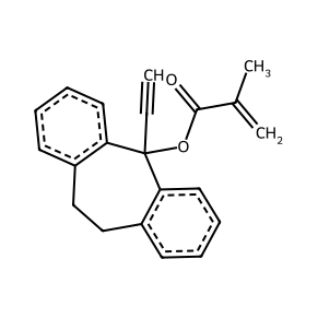 C#CC1(OC(=O)C(=C)C)c2ccccc2CCc2ccccc21